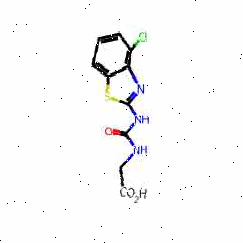 O=C(O)CNC(=O)Nc1nc2c(Cl)cccc2s1